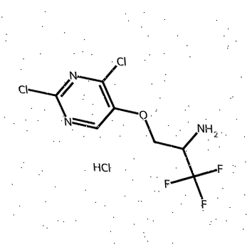 Cl.NC(COc1cnc(Cl)nc1Cl)C(F)(F)F